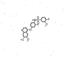 COc1cc(S(=O)(=O)Nc2ccc(Oc3ccnc4cc(OC)c(OC)cc34)cc2F)ccc1F